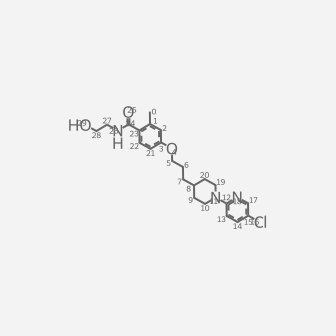 Cc1cc(OCCCC2CCN(c3ccc(Cl)cn3)CC2)ccc1C(=O)NCCO